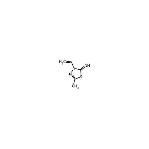 C=Cn1nc(C)sc1=N